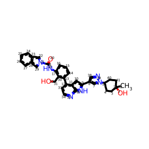 CC1(O)CCC(n2cc(-c3cc4c(-c5cccc(NC(=O)n6cc7ccccc7c6)c5CO)ccnc4[nH]3)cn2)CC1